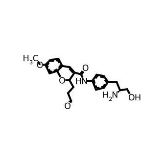 COc1ccc2c(c1)OC(CCC=O)C(C(=O)Nc1ccc(C[C@H](N)CO)cc1)=C2